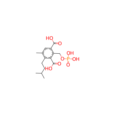 Cc1cc(C(=O)O)c(COP(=O)(O)O)c(C(=O)O)c1CCC(C)C